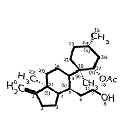 C=C1CCC2[C@H](CCO)C([C@@]3(C)CC[C@H](C)C[C@@H]3OC(C)=O)CC[C@]12C